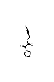 O=C(OCC#CF)C(=O)N1CCOC1